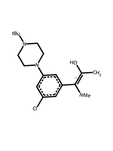 CN/C(=C(\C)O)c1cc(Cl)cc(N2CCN(C(C)(C)C)CC2)c1